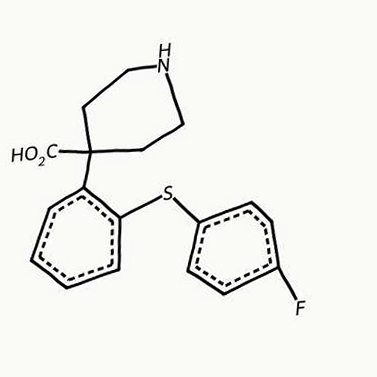 O=C(O)C1(c2ccccc2Sc2ccc(F)cc2)CCNCC1